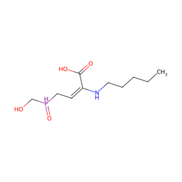 CCCCCNC(=CC[PH](=O)CO)C(=O)O